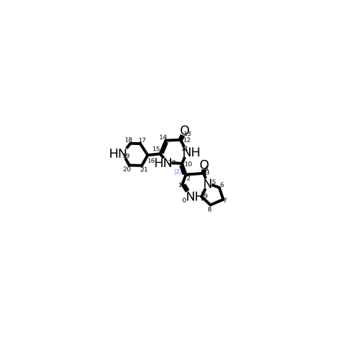 N=C/C(C(=O)N1CCCC1)=C1/NC(=O)C=C(C2CCNCC2)N1